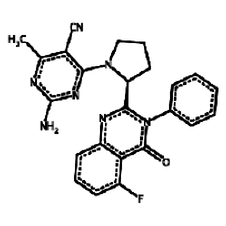 Cc1nc(N)nc(N2CCC[C@H]2c2nc3cccc(F)c3c(=O)n2-c2ccccc2)c1C#N